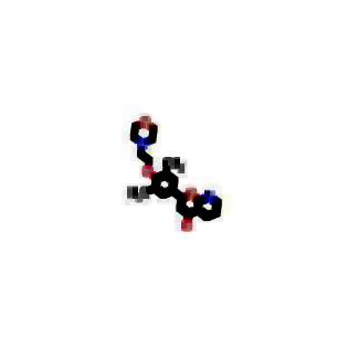 Cc1cc(-c2cc(=O)c3cccnc3o2)cc(C)c1OCCN1CCOCC1